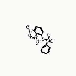 O=[N+]([O-])c1cccc(SS(=O)(=O)c2ccccc2)c1[N+](=O)[O-]